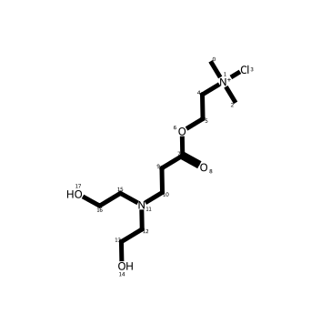 C[N+](C)(Cl)CCOC(=O)CCN(CCO)CCO